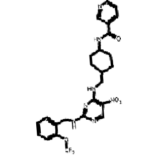 O=C(NC1CCC(CNc2nc(NCc3ccccc3OC(F)(F)F)ncc2[N+](=O)[O-])CC1)c1cccnc1